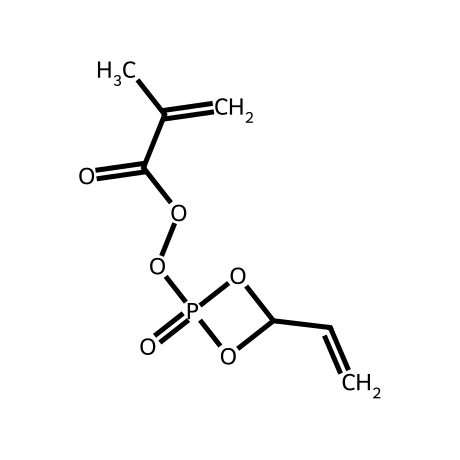 C=CC1OP(=O)(OOC(=O)C(=C)C)O1